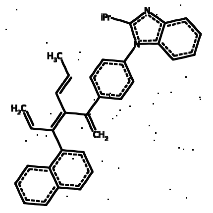 C=C/C(=C(\C=CC)C(=C)c1ccc(-n2c(C(C)C)nc3ccccc32)cc1)c1cccc2ccccc12